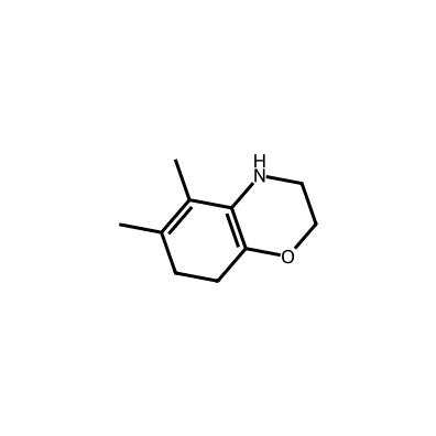 CC1=C(C)C2=C(CC1)OCCN2